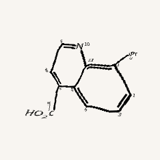 CC(C)c1cccc2c(C(=O)O)ccnc12